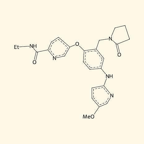 CCNC(=O)c1ccc(Oc2ccc(Nc3ccc(OC)cn3)cc2CN2CCCC2=O)cn1